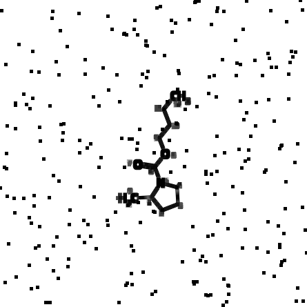 [CH2]C1CCCN1C(=O)OCCCC